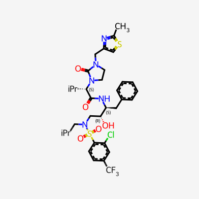 Cc1nc(CN2CCN([C@H](C(=O)N[C@@H](Cc3ccccc3)[C@H](O)CN(CC(C)C)S(=O)(=O)c3ccc(C(F)(F)F)cc3Cl)C(C)C)C2=O)cs1